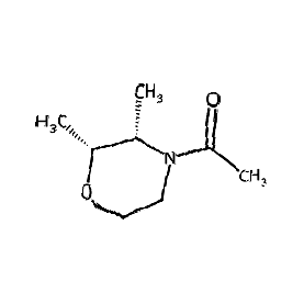 CC(=O)N1CCO[C@H](C)[C@@H]1C